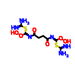 N=C(N)SC(=NC(=O)CCC(=O)N=C(OO)SC(=N)N)OO